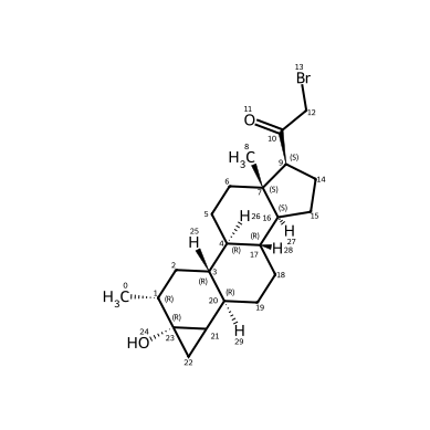 C[C@@H]1C[C@@H]2[C@H]3CC[C@]4(C)[C@@H](C(=O)CBr)CC[C@H]4[C@@H]3CC[C@H]2C2C[C@]21O